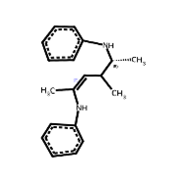 C/C(=C/C(C)[C@@H](C)Nc1ccccc1)Nc1ccccc1